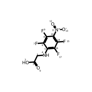 O=C(O)CNc1c(F)c(F)c([N+](=O)[O-])c(F)c1F